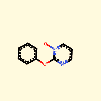 [O-][n+]1cccnc1Oc1ccccc1